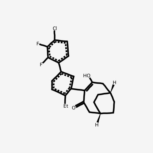 CCc1ccc(-c2ccc(Cl)c(F)c2F)cc1/C1=C(\O)C[C@H]2CC[C@H](CC2)CC1=O